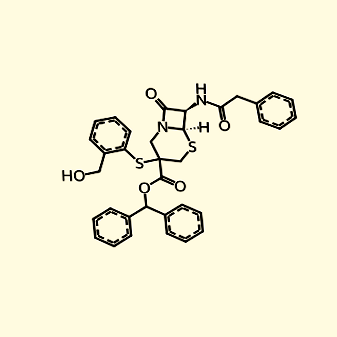 O=C(Cc1ccccc1)N[C@@H]1C(=O)N2CC(Sc3ccccc3CO)(C(=O)OC(c3ccccc3)c3ccccc3)CS[C@H]12